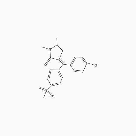 CC1C/C(=C(\c2ccc(Cl)cc2)c2ccc(S(C)(=O)=O)cc2)C(=O)N1C